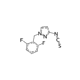 Fc1cccc(F)c1Cn1ccc(N=C=S)n1